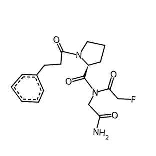 NC(=O)CN(C(=O)CF)C(=O)[C@@H]1CCCN1C(=O)CCc1ccccc1